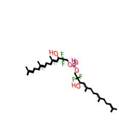 CC(C)=CCC/C(C)=C/CC/C(C)=C/C(O)C(F)(F)CO[PH](=O)OCC(F)(F)C(O)/C=C(\C)CC/C=C(\C)CCC=C(C)C